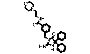 N=C1NC(c2ccccc2)(c2ccccc2)C(=O)N1Cc1cccc(C(=O)NCCN2CCOCC2)c1